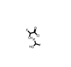 CC(F)C(=O)Cl.OC(F)F